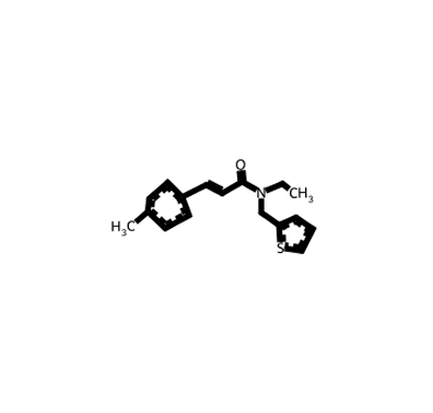 CCN(Cc1cccs1)C(=O)/C=C/c1ccc(C)cc1